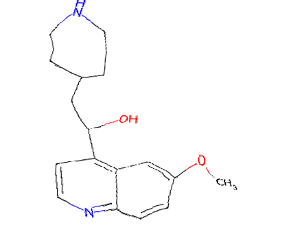 COc1ccc2nccc(C(O)CC3CCNCC3)c2c1